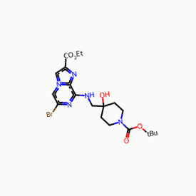 CCOC(=O)c1cn2cc(Br)nc(NCC3(O)CCN(C(=O)OC(C)(C)C)CC3)c2n1